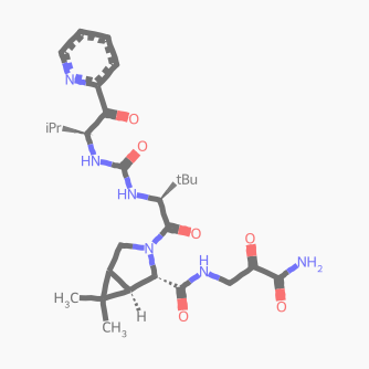 CC(C)[C@H](NC(=O)N[C@H](C(=O)N1CC2[C@@H]([C@H]1C(=O)NCC(=O)C(N)=O)C2(C)C)C(C)(C)C)C(=O)c1ccccn1